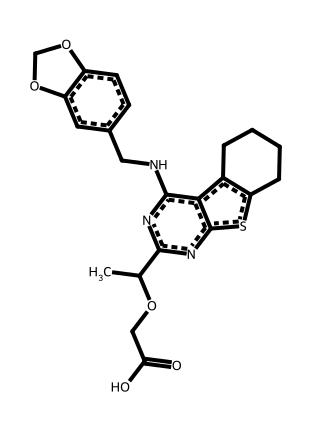 CC(OCC(=O)O)c1nc(NCc2ccc3c(c2)OCO3)c2c3c(sc2n1)CCCC3